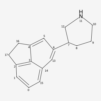 c1cc2c3c(cc(C4CCCNC4)cc3c1)CC2